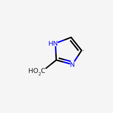 O=C(O)c1n[c]c[nH]1